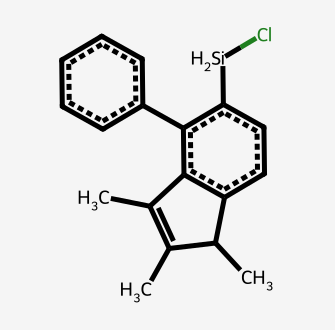 CC1=C(C)C(C)c2ccc([SiH2]Cl)c(-c3ccccc3)c21